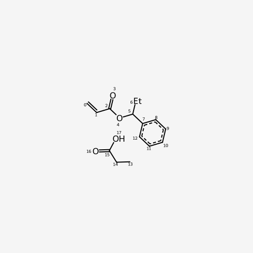 C=CC(=O)OC(CC)c1ccccc1.CCC(=O)O